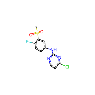 CS(=O)(=O)c1cc(Nc2nccc(Cl)n2)ccc1F